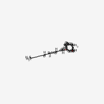 C=CC(=C)CCCCCCCCCCCCCCCCC(=O)NCCCCCC(=O)NCCOCCOCC(=O)NCCCCCOCC(=O)NCCCCC1NC(=O)[C@H](CCC)NC(=O)[C@@H](NCC)CSSC[C@@H](C(N)=O)CC(=O)[C@H](CN2CCOCC2)NC(=O)C[C@H](Cc2ccccc2)NC1O